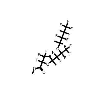 COC(=O)C(F)(OC(C)(C)C(F)(F)C(F)(OC(C)(C)C(F)(F)C(F)(F)C(F)(F)F)C(F)(F)F)C(F)(F)F